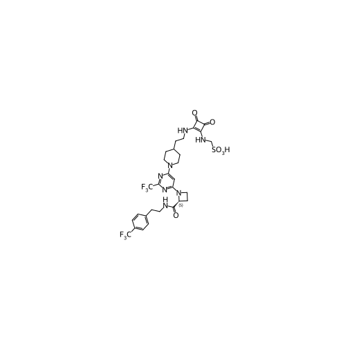 O=C(NCCc1ccc(C(F)(F)F)cc1)[C@@H]1CCN1c1cc(N2CCC(CCNc3c(NCS(=O)(=O)O)c(=O)c3=O)CC2)nc(C(F)(F)F)n1